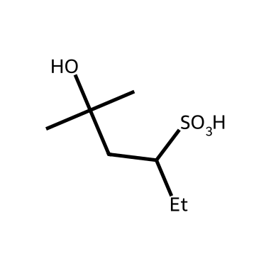 CCC(CC(C)(C)O)S(=O)(=O)O